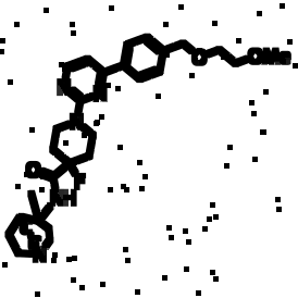 COCCOCc1ccc(-c2ccnc(N3CCC(F)(C(=O)NC4(C)CCN5CCC4CC5)CC3)n2)cc1